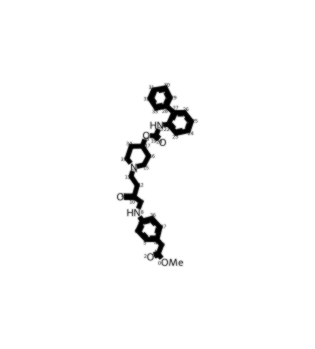 COC(=O)Cc1ccc(NCC(=O)CCN2CCC(OC(=O)Nc3ccccc3-c3ccccc3)CC2)cc1